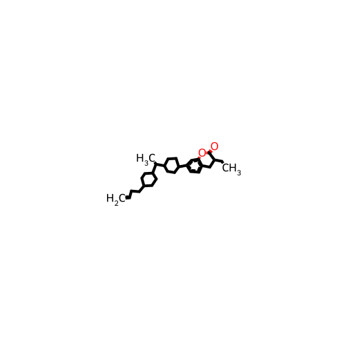 C=CCCC1CCC(C(C)C2CCC(c3ccc4c(c3)OC(=O)C(CC)C4)CC2)CC1